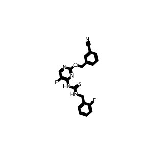 N#Cc1cccc(COc2ncc(F)c(NC(=S)NCc3ccccc3F)n2)c1